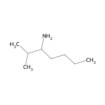 [CH2]C(C)C(N)CCCC